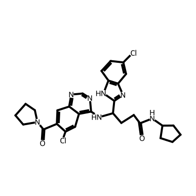 O=C(CCC(Nc1ncnc2cc(C(=O)N3CCCC3)c(Cl)cc12)c1nc2cc(Cl)ccc2[nH]1)NC1CCCC1